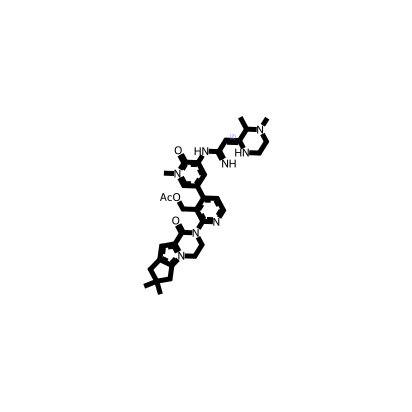 CC(=O)OCc1c(-c2cc(NC(=N)/C=C3\NCCN(C)C3C)c(=O)n(C)c2)ccnc1N1CCn2c(cc3c2CC(C)(C)C3)C1=O